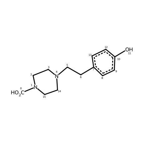 O=C(O)N1CCN(CCc2ccc(O)cc2)CC1